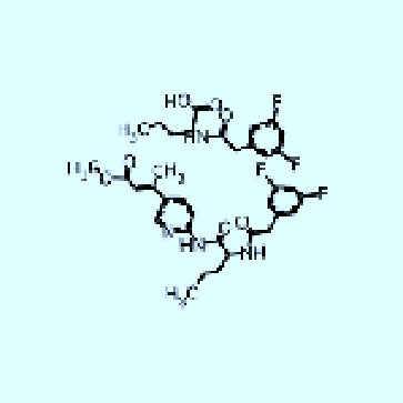 CCCC(NC(=O)Cc1cc(F)cc(F)c1)C(=O)Nc1ccc(C(C)=CC(=O)OC)cn1.CCCC(NC(=O)Cc1cc(F)cc(F)c1)C(=O)O